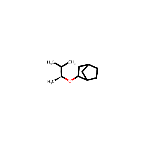 CC(C)[C@H](C)OC1CC2CCC1C2